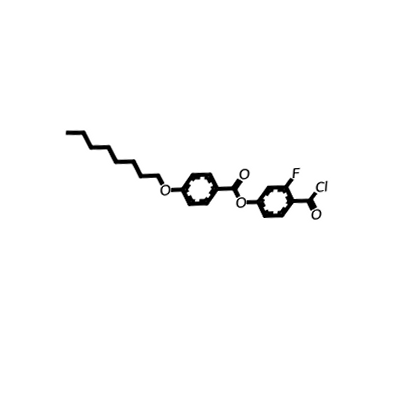 CCCCCCCCOc1ccc(C(=O)Oc2ccc(C(=O)Cl)c(F)c2)cc1